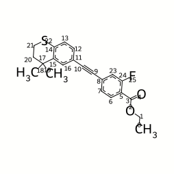 CCOC(=O)c1ccc(C#Cc2ccc3c(c2)C(C)(C)CCS3)cc1F